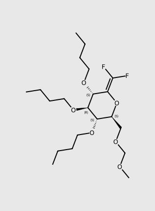 CCCCO[C@@H]1[C@@H](OCCCC)[C@H](OCCCC)C(=C(F)F)O[C@H]1COCOC